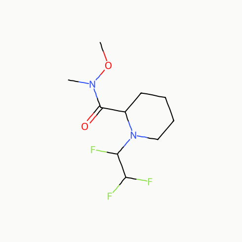 CON(C)C(=O)C1CCCCN1C(F)C(F)F